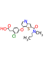 CCCN(C)C(=O)c1cc2nccc(Oc3ccc(CC(=O)O)c(Cl)c3)c2s1